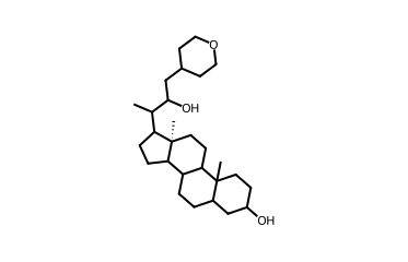 CC(C(O)CC1CCOCC1)C1CCC2C3CCC4CC(O)CCC4(C)C3CC[C@]12C